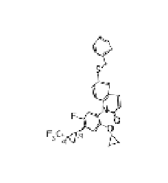 O=c1ccc2cc(SCc3ccccc3)ccc2n1-c1cc(F)c([C@H]2C[C@@H]2C(F)(F)F)cc1OC1CC1